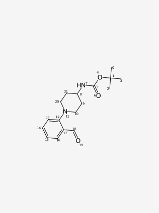 CC(C)(C)OC(=O)NC1CCN(c2ccccc2C=O)CC1